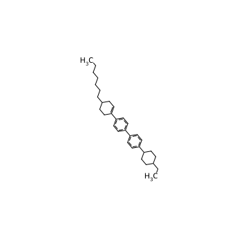 CCCCCCCC1CC=C(c2ccc(-c3ccc(C4CCC(CC)CC4)cc3)cc2)CC1